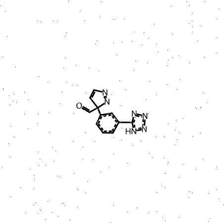 O=CC1(c2cccc(-c3nnn[nH]3)c2)C=CN=N1